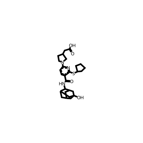 O=C(O)CC1CCN(c2ccc(C(=O)NC3C4CC5CC3CC(O)(C5)C4)c(SC3CCCC3)n2)C1